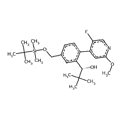 COc1cc(-c2ccc(CO[Si](C)(C)C(C)(C)C)cc2[C@H](O)C(C)(C)C)c(F)cn1